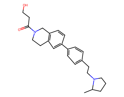 CC1CCCN1CCc1ccc(-c2ccc3c(c2)CCN(C(=O)CCO)C3)cc1